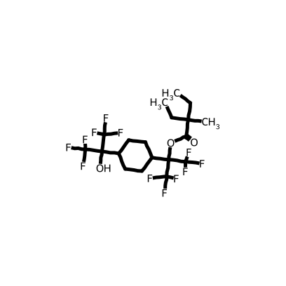 CCC(C)(CC)C(=O)OC(C1CCC(C(O)(C(F)(F)F)C(F)(F)F)CC1)(C(F)(F)F)C(F)(F)F